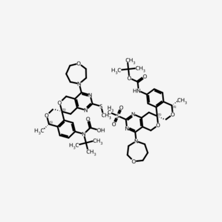 CSc1nc2c(c(N3CCCOCC3)n1)CO[C@@]1(CO[C@@H](C)c3ccc(N(C(=O)O)C(C)(C)C)cc31)C2.C[C@@H]1OC[C@]2(Cc3nc(S(C)(=O)=O)nc(N4CCCOCC4)c3CO2)c2cc(NC(=O)OC(C)(C)C)ccc21